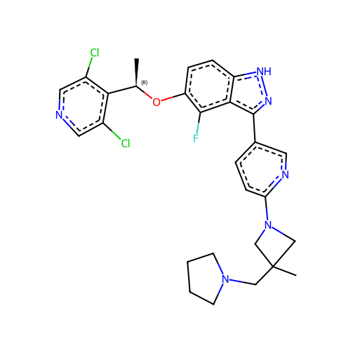 C[C@@H](Oc1ccc2[nH]nc(-c3ccc(N4CC(C)(CN5CCCC5)C4)nc3)c2c1F)c1c(Cl)cncc1Cl